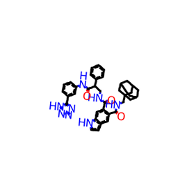 O=C(NCC(C(=O)Nc1cccc(-c2nnn[nH]2)c1)c1ccccc1)c1cc2[nH]ccc2cc1C(=O)NCC12CC3CC(CC(C3)C1)C2